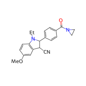 CCN1c2ccc(OC)cc2C(C#N)C1c1ccc(C(=O)N2CC2)cc1